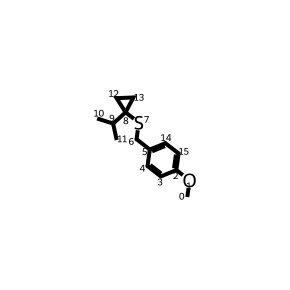 COc1ccc(CSC2(C(C)C)CC2)cc1